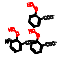 O=C([O-])c1ccccc1OO.O=C([O-])c1ccccc1OO.O=C([O-])c1ccccc1OO.[Al+3]